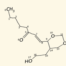 CCCCCC(=O)C=CC1OCOCC1CCO